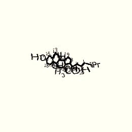 CC(C)CCC[C@](C)(O)C1CCC2[C@@H]3CC=C4C[C@@H](O)CC[C@]4(C)C3CC[C@@]21C